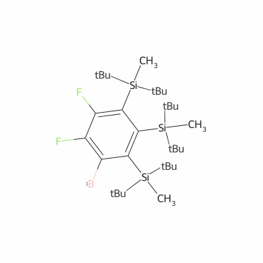 [B]c1c(F)c(F)c([Si](C)(C(C)(C)C)C(C)(C)C)c([Si](C)(C(C)(C)C)C(C)(C)C)c1[Si](C)(C(C)(C)C)C(C)(C)C